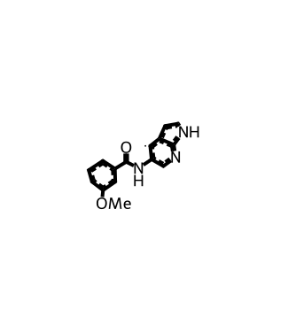 COc1cccc(C(=O)Nc2[c]c3cc[nH]c3nc2)c1